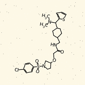 CN(C)C(c1cccs1)C1CCC(CNC(=O)COC2CCN(S(=O)(=O)c3ccc(Cl)cc3)C2)CC1